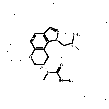 CCNC(=O)N(C)[C@@H]1COc2ccc3cnn(C[C@@H](C)N)c3c2C1